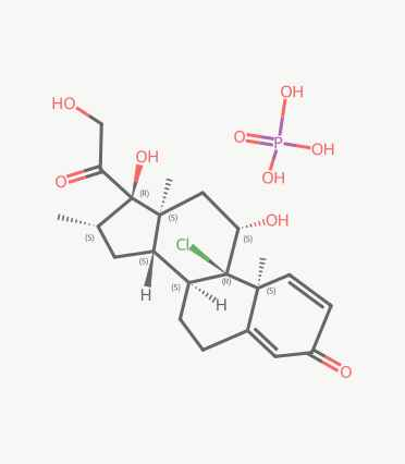 C[C@H]1C[C@H]2[C@@H]3CCC4=CC(=O)C=C[C@]4(C)[C@@]3(Cl)[C@@H](O)C[C@]2(C)[C@@]1(O)C(=O)CO.O=P(O)(O)O